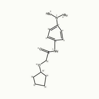 CCCCN(CCCC)c1ccc(NC(=O)COC2CCCC2)cc1